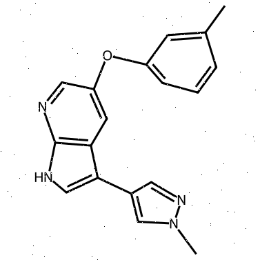 Cc1cccc(Oc2cnc3[nH]cc(-c4cnn(C)c4)c3c2)c1